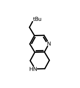 CC(C)(C)Cc1cnc2c(c1)CNCC2